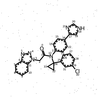 O=C(Cn1nnc2ccccc21)N(c1ccc(-c2c[nH]cn2)cc1)C1(c2cccc(Cl)c2)CC1